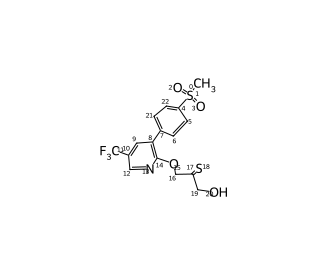 CS(=O)(=O)c1ccc(-c2cc(C(F)(F)F)cnc2OCC(=S)CO)cc1